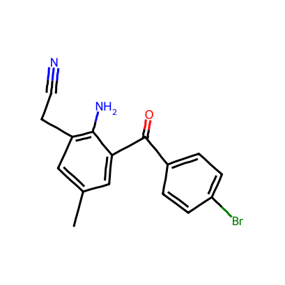 Cc1cc(CC#N)c(N)c(C(=O)c2ccc(Br)cc2)c1